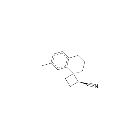 Cc1ccc2c(c1)[C@]1(CCC2)CC[C@@H]1C#N